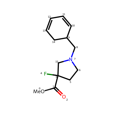 COC(=O)C1(F)CCN(CC2C=CC=CC2)C1